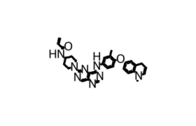 C=CC(=O)NC1CCN(c2ncc3ncnc(Nc4ccc(Oc5ccc6c(c5)CC=CN6C)c(C)c4)c3n2)CC1